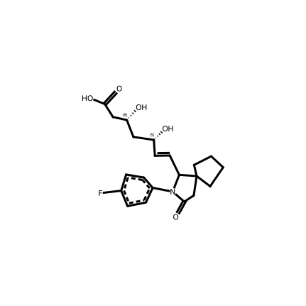 O=C(O)C[C@H](O)C[C@H](O)C=CC1N(c2ccc(F)cc2)C(=O)CC12CCCC2